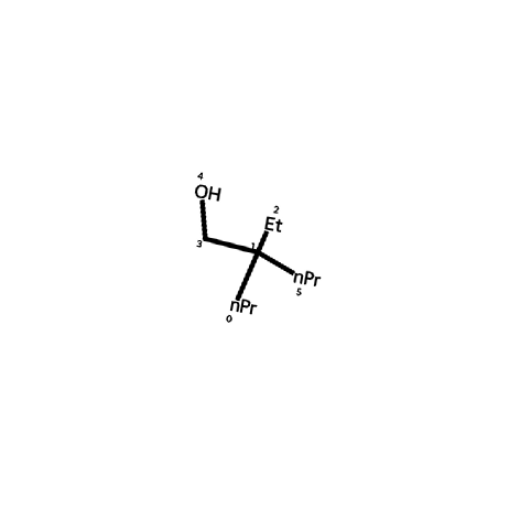 CCCC(CC)(CO)CCC